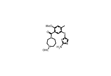 COc1cc(C)c(Sc2cnc(N)s2)cc1C(=O)N1CCCN(C=O)CC1